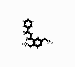 CCc1ccc(CC)c(C(=O)CC(=O)c2ccccc2)c1